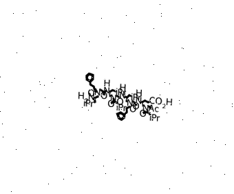 CC(=O)CN(C[C@H](CCC(=O)O)NC(=O)CN(C[C@H](CC(C)C)NC(=O)CN(C[C@H](CC(C)C)NC(=O)CN(C[C@@H](N)CC(C)C)C(=O)CCc1ccccc1)C(=O)CC(C)C)C(=O)CCc1ccccc1)C(=O)CC(C)C